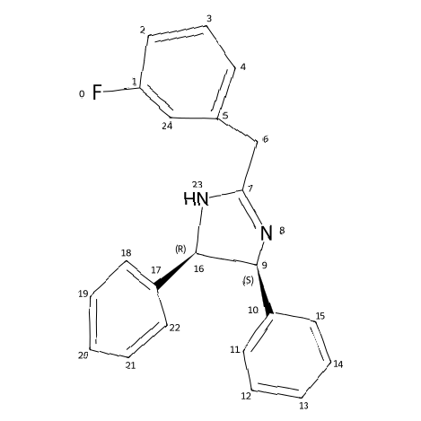 Fc1cccc(CC2=N[C@@H](c3ccccc3)[C@@H](c3ccccc3)N2)c1